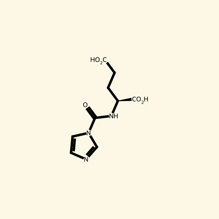 O=C(O)CC[C@H](NC(=O)n1ccnc1)C(=O)O